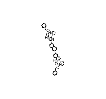 O=C(OCc1ccccc1)N1CCC[C@H]1c1nc(-c2ccc3cc(-c4ccc5[nH]c([C@@H]6CCCN6C(=O)OCc6ccccc6)nc5c4)ccc3c2)c[nH]1